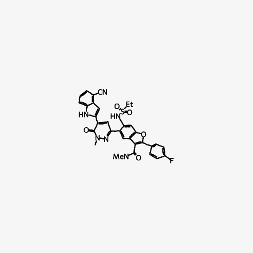 CCS(=O)(=O)Nc1cc2oc(-c3ccc(F)cc3)c(C(=O)NC)c2cc1-c1cc(-c2cc3c(C#N)cccc3[nH]2)c(=O)n(C)n1